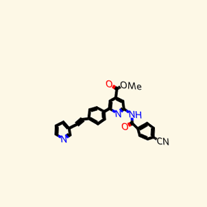 COC(=O)c1cc(NC(=O)c2ccc(C#N)cc2)nc(-c2ccc(C#Cc3cccnc3)cc2)c1